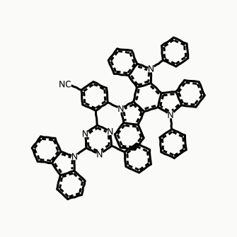 N#Cc1ccc(-n2c3ccccc3c3c4c(c5ccccc5n4-c4ccccc4)c4c(c5ccccc5n4-c4ccccc4)c32)c(-c2nc(-c3ccccc3)nc(-n3c4ccccc4c4ccccc43)n2)c1